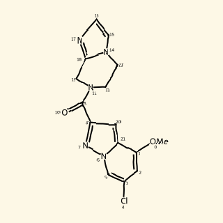 COc1cc(Cl)cn2nc(C(=O)N3CCn4ccnc4C3)cc12